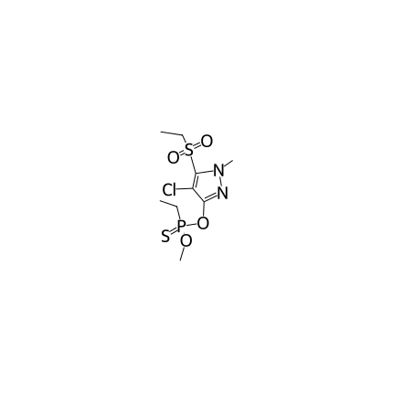 CCP(=S)(OC)Oc1nn(C)c(S(=O)(=O)CC)c1Cl